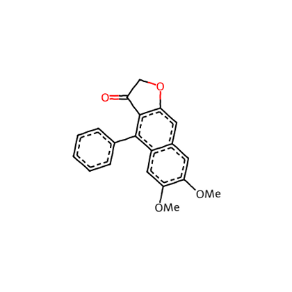 COc1cc2cc3c(c(-c4ccccc4)c2cc1OC)C(=O)CO3